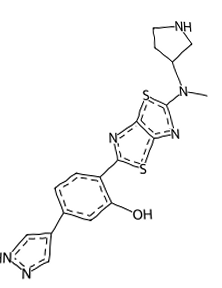 CN(c1nc2sc(-c3ccc(-c4cn[nH]c4)cc3O)nc2s1)C1CCNC1